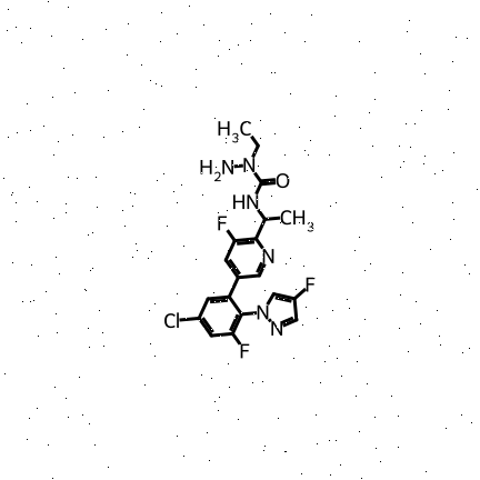 CCN(N)C(=O)NC(C)c1ncc(-c2cc(Cl)cc(F)c2-n2cc(F)cn2)cc1F